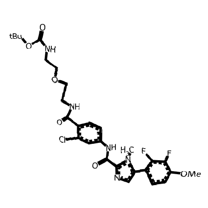 COc1ccc(-c2cnc(C(=O)Nc3ccc(C(=O)NCCOCCNC(=O)OC(C)(C)C)c(Cl)c3)n2C)c(F)c1F